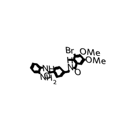 COc1cc(C(=O)NCc2ccc(C(=O)Nc3ccccc3N)cc2)c(C)c(Br)c1OC